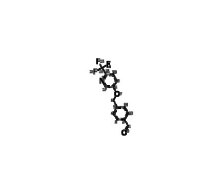 O=Cc1ccc(COc2ccc(C(F)(F)F)nc2)cc1